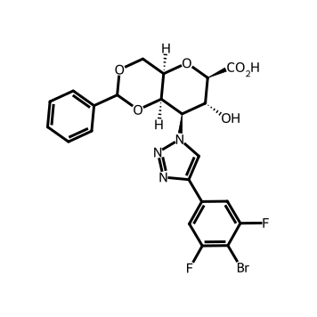 O=C(O)[C@@H]1O[C@@H]2COC(c3ccccc3)O[C@@H]2[C@H](n2cc(-c3cc(F)c(Br)c(F)c3)nn2)[C@H]1O